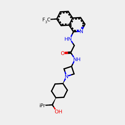 CC(C)C(O)[C@H]1CC[C@@H](N2CC(NC(=O)CNc3nccc4ccc(C(F)(F)F)cc34)C2)CC1